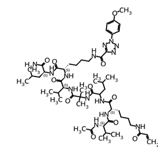 C=CC(=O)NCCCC[C@H](NC(=O)[C@@H](NC(C)=O)C(C)C)C(=O)NC(CC(C)C)C(=O)NC(C)(C)C(=O)N[C@H](C(=O)N[C@@H](CCCCNC(=O)c1nnn(-c2ccc(OC)cc2)n1)C(=O)N[C@@H](CC(C)C)C(N)=O)C(C)C